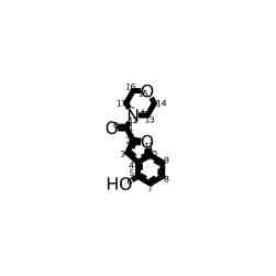 O=C(c1cc2c(O)cccc2o1)[N+]1CCOCC1